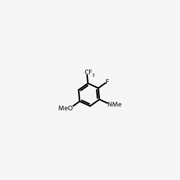 CNc1cc(OC)cc(C(F)(F)F)c1F